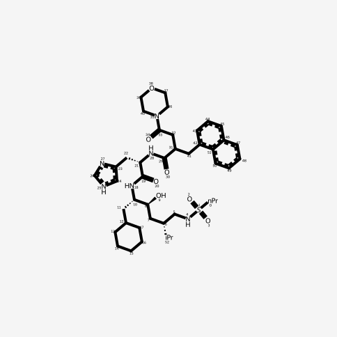 CCCS(=O)(=O)NC[C@@H](C[C@H](O)[C@H](CC1CCCCC1)NC(=O)[C@H](Cc1c[nH]cn1)NC(=O)C(CC(=O)N1CCOCC1)Cc1cccc2ccccc12)C(C)C